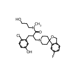 CN(CCCO)C(=O)C(Cc1cc(O)ccc1Cl)CN1CCC2(CC1)OCc1ccc(F)cc12